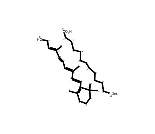 CC1=C(/C=C/C(C)=C/C=C/C(C)=C/CO)C(C)(C)CCC1.CCCCCCCCCCCCCCCCCCCCCC(=O)O